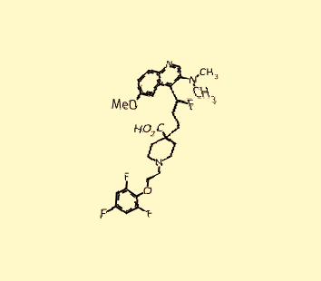 COc1ccc2ncc(N(C)C)c(C(F)CCC3(C(=O)O)CCN(CCOc4c(F)cc(F)cc4F)CC3)c2c1